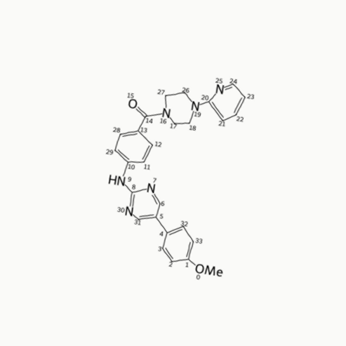 COc1ccc(-c2cnc(Nc3ccc(C(=O)N4CCN(c5ccccn5)CC4)cc3)nc2)cc1